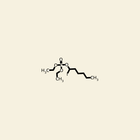 CCCCCC(I)OP(=O)(OCC)OCC